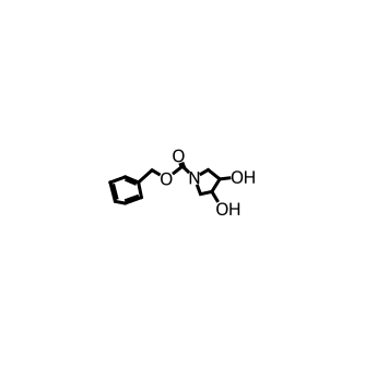 O=C(OCc1ccccc1)N1CC(O)C(O)C1